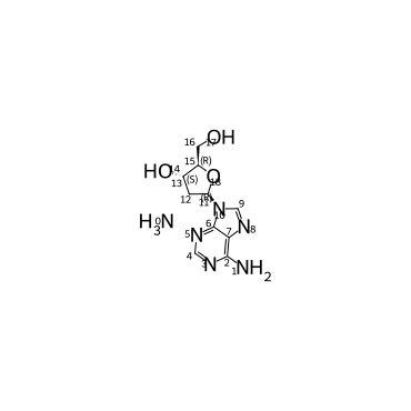 N.Nc1ncnc2c1ncn2[C@H]1C[C@H](O)[C@@H](CO)O1